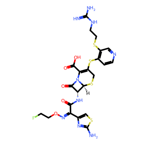 N=C(N)NCCSc1cnccc1SC1=C(C(=O)O)N2C(=O)[C@@H](NC(=O)/C(=N\OCCF)c3csc(N)n3)[C@@H]2SC1